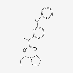 CCC(OC(=O)C(C)c1cccc(Oc2ccccc2)c1)N1CCCC1